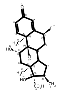 C[C@@H]1CC2C3C[C@H](F)C4=CC(=O)C=C[C@]4(C)[C@@]3(Cl)[C@@H](O)C[C@]2(C)[C@@]1(O)C(=O)O